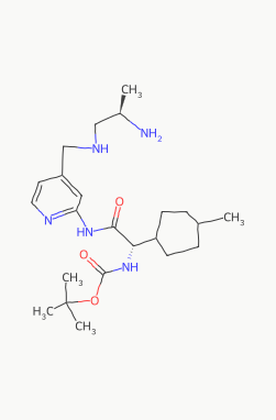 CC1CCC([C@H](NC(=O)OC(C)(C)C)C(=O)Nc2cc(CNC[C@@H](C)N)ccn2)CC1